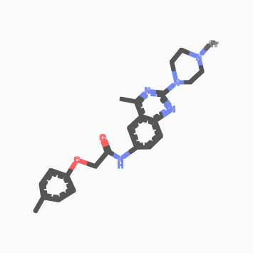 Cc1ccc(OCC(=O)Nc2ccc3nc(N4CCN(C(C)C)CC4)nc(C)c3c2)cc1